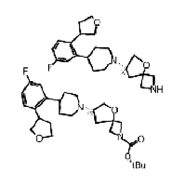 CC(C)(C)OC(=O)N1CC2(C[C@H](N3CCC(c4cc(F)ccc4C4CCOC4)CC3)CO2)C1.Fc1ccc(C2CCOC2)c(C2CCN([C@@H]3COC4(CNC4)C3)CC2)c1